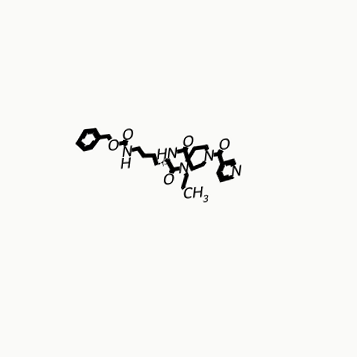 CCCN1C(=O)[C@H](CCCCNC(=O)OCc2ccccc2)NC(=O)C12CCN(C(=O)c1cccnc1)CC2